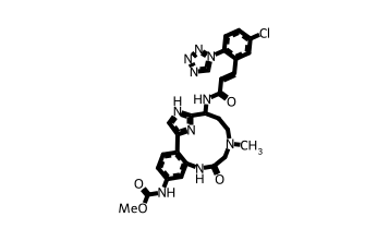 COC(=O)Nc1ccc2c(c1)NC(=O)CN(C)CCC(NC(=O)C=Cc1cc(Cl)ccc1-n1cnnn1)c1nc-2c[nH]1